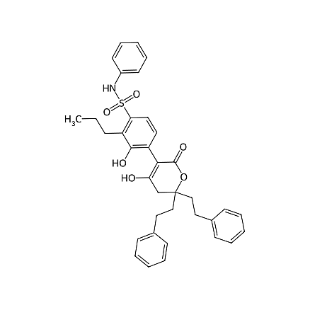 CCCc1c(S(=O)(=O)Nc2ccccc2)ccc(C2=C(O)CC(CCc3ccccc3)(CCc3ccccc3)OC2=O)c1O